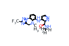 [2H]C([2H])([2H])NC(=O)c1nnccc1Nc1cccc2c1N(C)Cc1nc(C(F)(F)F)nn1-2